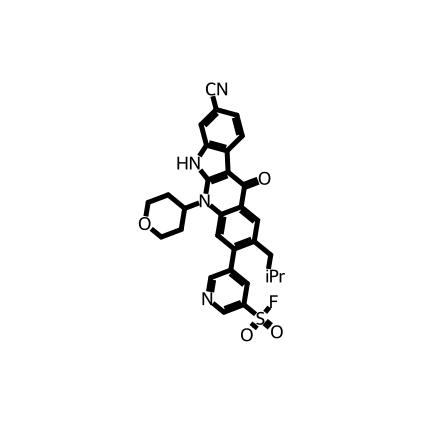 CC(C)Cc1cc2c(=O)c3c4ccc(C#N)cc4[nH]c3n(C3CCOCC3)c2cc1-c1cncc(S(=O)(=O)F)c1